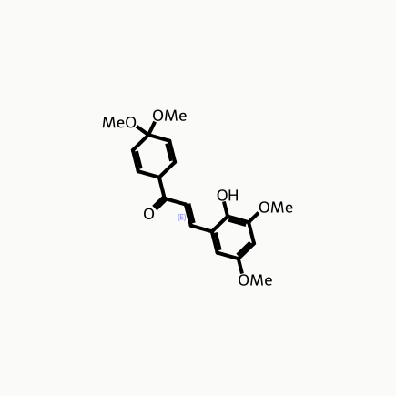 COc1cc(/C=C/C(=O)C2C=CC(OC)(OC)C=C2)c(O)c(OC)c1